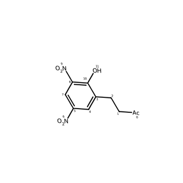 CC(=O)CCc1cc([N+](=O)[O-])cc([N+](=O)[O-])c1O